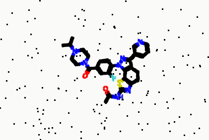 CC(=O)Nc1nc2c(s1)-c1c(c(-c3cccnc3)nn1-c1ccc(C(=O)N3CCN(C(C)C)CC3)cc1F)CC2